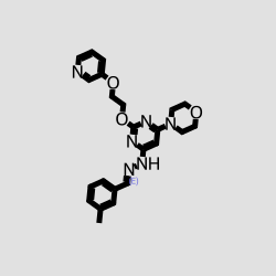 Cc1cccc(/C=N/Nc2cc(N3CCOCC3)nc(OCCOc3cccnc3)n2)c1